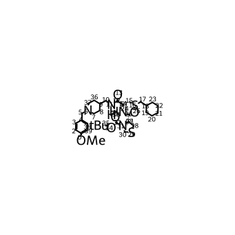 COc1ccc(CN2CCC(CNC(=O)[C@H](CSCC3CCCCC3)NC(=O)[C@@H]3CSCN3C(=O)OC(C)(C)C)CC2)cc1